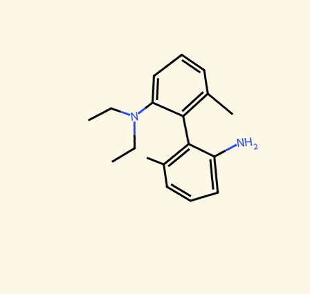 CCN(CC)c1cccc(C)c1-c1c(C)cccc1N